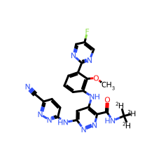 [2H]C([2H])([2H])NC(=O)c1nnc(Nc2ccc(C#N)nn2)cc1Nc1cccc(-c2ncc(F)cn2)c1OC